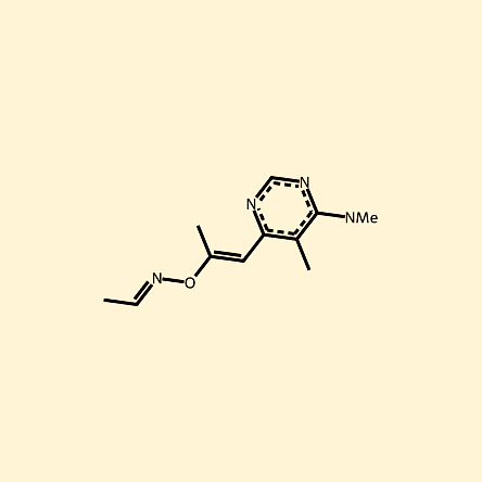 C/C=N/O/C(C)=C/c1ncnc(NC)c1C